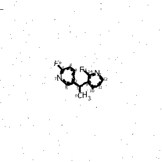 C[C](c1ccc(F)nc1)c1cccnc1F